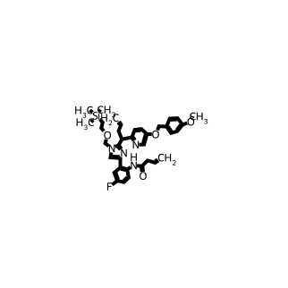 C=CCC(=O)Nc1ccc(F)cc1-c1cn(COCC[Si](C)(C)C)c(C(CC=C)c2ccc(OCc3ccc(OC)cc3)cn2)n1